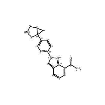 NC(=O)c1cccc2cn(-c3ccc(C45CNCC4C5)cc3)nc12